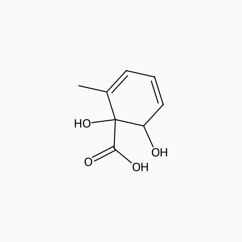 CC1=CC=CC(O)C1(O)C(=O)O